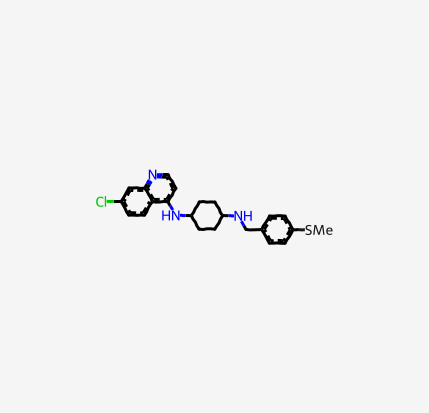 CSc1ccc(CNC2CCC(Nc3ccnc4cc(Cl)ccc34)CC2)cc1